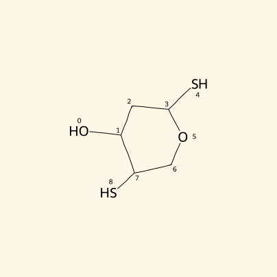 OC1CC(S)OCC1S